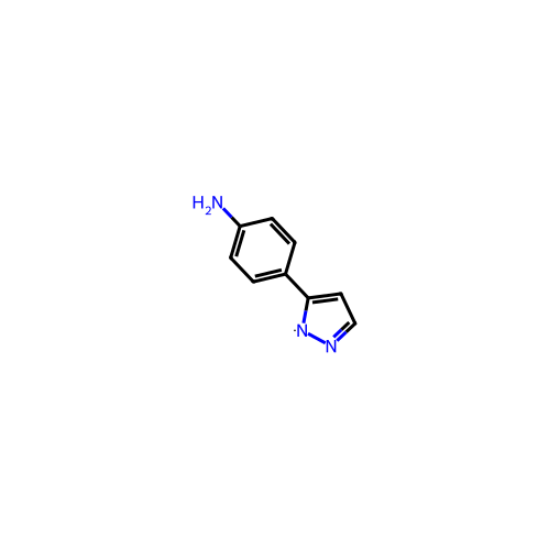 Nc1ccc(C2=CC=N[N]2)cc1